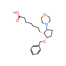 O=C(O)CCCCCC[C@H]1[C@@H](OCc2ccccc2)CC[C@@H]1N1CCOCC1